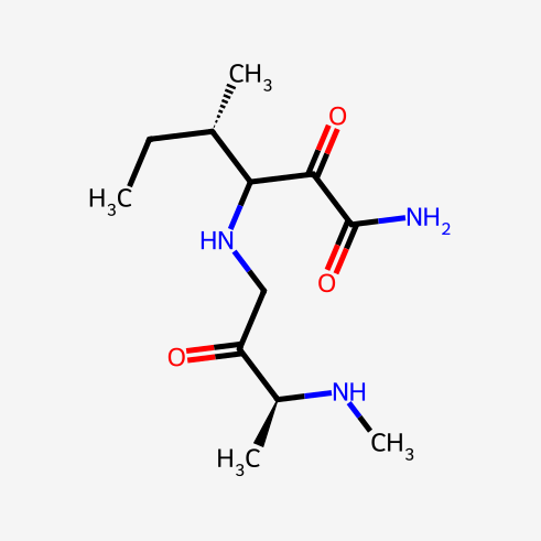 CC[C@H](C)C(NCC(=O)[C@H](C)NC)C(=O)C(N)=O